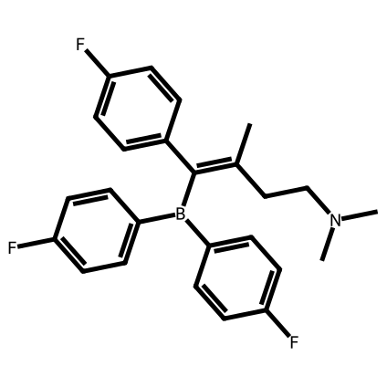 C/C(CCN(C)C)=C(/B(c1ccc(F)cc1)c1ccc(F)cc1)c1ccc(F)cc1